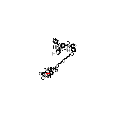 CN(Cc1c(C=O)cccc1NC(=O)COCCCOCCCCCOc1ccc2c(c1)C(NC(=O)c1cccc(NC3(c4nnc(-c5ccncc5)[nH]4)CCNCC3)c1)CCO2)C1CCC(=O)NC1=O